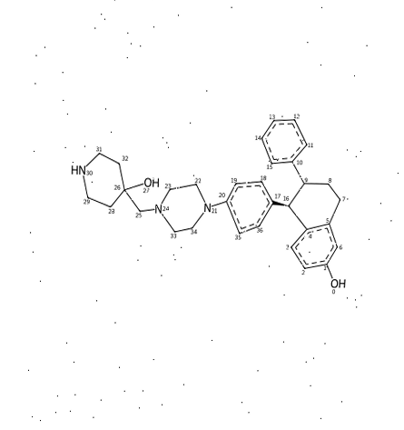 Oc1ccc2c(c1)CCC(c1ccccc1)[C@@H]2c1ccc(N2CCN(CC3(O)CCNCC3)CC2)cc1